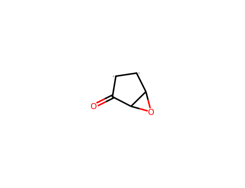 O=C1[CH][CH]C2OC12